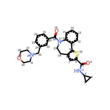 O=C(NC1CC1)c1cc2c(s1)-c1ccccc1N(C(=O)c1cccc(CN3CCOCC3)c1)CC2